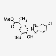 COC(=O)C(C)c1cc(-n2nc3ccc(Cl)cc3n2)c(O)c(C(C)(C)C)c1